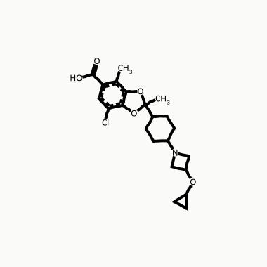 Cc1c(C(=O)O)cc(Cl)c2c1OC(C)(C1CCC(N3CC(OC4CC4)C3)CC1)O2